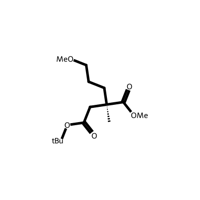 COCCC[C@](C)(CC(=O)OC(C)(C)C)C(=O)OC